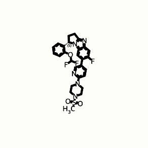 CS(=O)(=O)N1CCN(c2ccc(-c3cc4c(cc3F)nc3n4[C@H](c4ccccc4OC(F)F)CC3)cn2)CC1